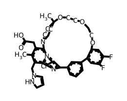 Cc1c(CC(=O)O)c2n3c(Cl)c(nc3c1CN1C=CCN1)-c1cccc(c1)-c1cc(F)c(F)cc1OCCOCCOC1(C)CCN2CC1